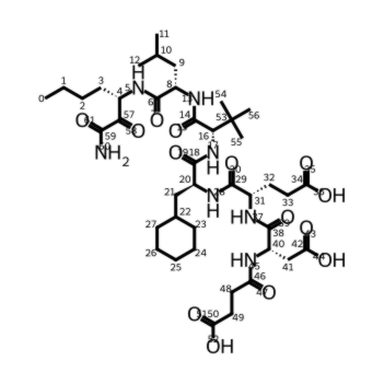 CCCC[C@H](NC(=O)[C@H](CC(C)C)NC(=O)[C@@H](NC(=O)[C@H](CC1CCCCC1)NC(=O)[C@H](CCC(=O)O)NC(=O)[C@H](CC(=O)O)NC(=O)CCC(=O)O)C(C)(C)C)C(=O)C(N)=O